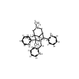 CN1CC2C(=O)C(C)(C1)C(C)(c1ccccn1)N(Cc1ccccn1)C2c1ccccn1